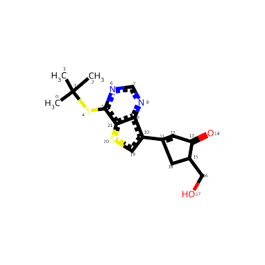 CC(C)(C)Sc1ncnc2c(C3=CC(=O)C(CO)C3)csc12